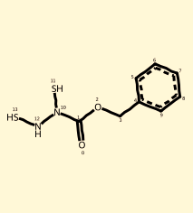 O=C(OCc1ccccc1)N(S)NS